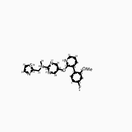 COc1cc(F)ccc1-c1cccnc1Oc1cnc(N(C)Cc2nccs2)nc1